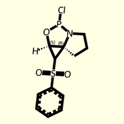 O=S(=O)(c1ccccc1)C1[C@H]2OP(Cl)N3CCC[C@]123